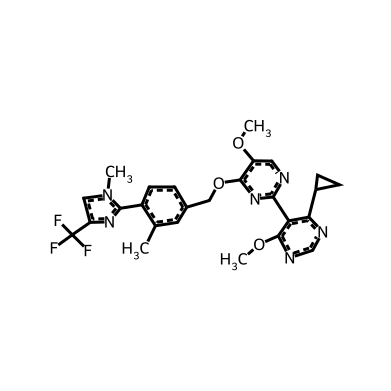 COc1cnc(-c2c(OC)ncnc2C2CC2)nc1OCc1ccc(-c2nc(C(F)(F)F)cn2C)c(C)c1